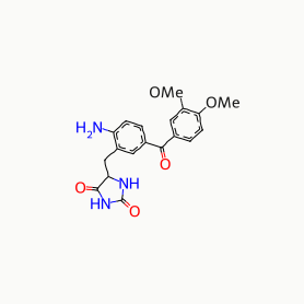 COc1ccc(C(=O)c2ccc(N)c(CC3NC(=O)NC3=O)c2)cc1OC